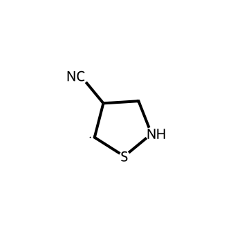 N#CC1[CH]SNC1